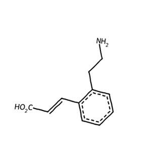 NCCc1ccccc1C=CC(=O)O